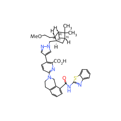 COCC[C@H]1[C@H](Cn2cc(-c3ccc(N4CCc5cccc(C(=O)Nc6nc7ccccc7s6)c5C4)nc3C(=O)O)cn2)C[C@@H]2C[C@H]1C2(C)C